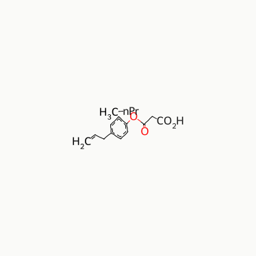 C=CCc1ccc(OC(=O)CC(=O)O)cc1.CCCC